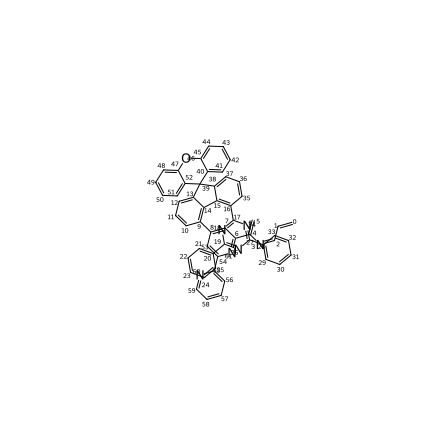 C=C/C=N\C(=C)c1cc(-c2cccc3c2-c2c(-c4nc(-c5ccccc5)nc(-c5ccccc5)n4)cccc2C32c3ccccc3Oc3ccccc32)cc(-c2ccccn2)n1